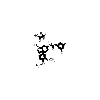 COc1ccc(C23CCC(NC(=O)Nc4cc(Cl)cc(Cl)c4)CC2N(C)CC3)cc1OC.O=C(O)C(F)(F)F